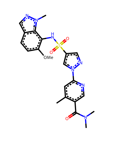 COc1ccc2cnn(C)c2c1NS(=O)(=O)c1cnn(-c2cc(C)c(C(=O)N(C)C)cn2)c1